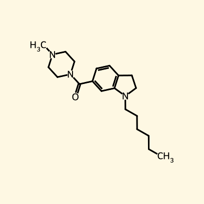 CCCCCCN1CCc2ccc(C(=O)N3CCN(C)CC3)cc21